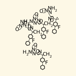 C=C(c1ccc(-c2ccccc2)c(F)c1)c1cc(CN=C(N)N2CCOCC2)on1.C=C(c1ccc(-c2ccccc2)c(F)c1)c1cc(N=C(N)N2CCOCC2)no1.C=C(c1ccc(-c2ccccc2)c(F)c1)c1cc(N=C(N)N2CCOCC2)on1.NC(=NCc1cc(C2(c3ccc(-c4ccccc4)c(F)c3)CC2)on1)N1CCOCC1